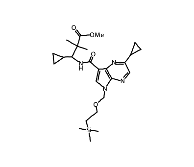 COC(=O)C(C)(C)C(NC(=O)c1cn(COCC[Si](C)(C)C)c2ncc(C3CC3)nc12)C1CC1